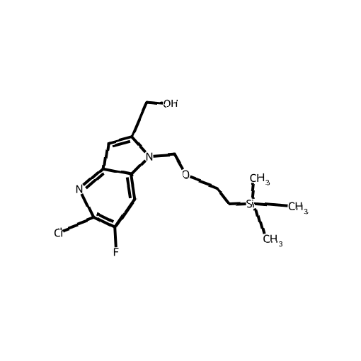 C[Si](C)(C)CCOCn1c(CO)cc2nc(Cl)c(F)cc21